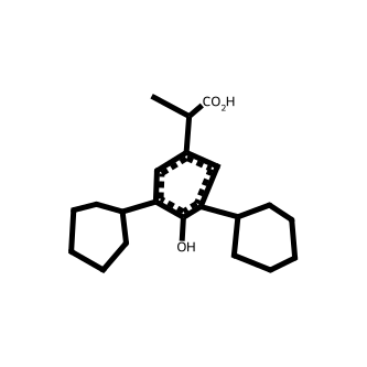 CC(C(=O)O)c1cc(C2CCCCC2)c(O)c(C2CCCCC2)c1